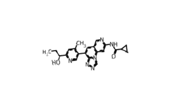 CC[C@H](O)c1cc(C)c(-c2cc3cnc(NC(=O)C4CC4)cc3n3cnnc23)cn1